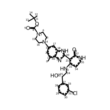 Cc1cc(N2CCN(C(=O)OC(C)(C)C)CC2)cc2[nH]c(-c3c(NC[C@@H](O)c4cccc(Cl)c4)cc[nH]c3=O)nc12